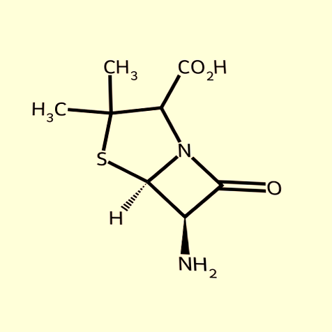 CC1(C)S[C@@H]2[C@H](N)C(=O)N2C1C(=O)O